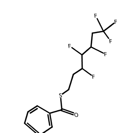 O=C(SCCC(F)C(F)C(F)CC(F)(F)F)c1ccccc1